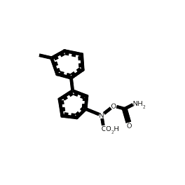 Cc1cccc(-c2cccc(N(OC(N)=O)C(=O)O)c2)c1